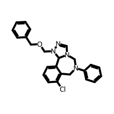 Clc1cccc2c1CN(c1ccccc1)CN1C=NN(COCc3ccccc3)C21